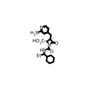 CCC(NC(=O)N1C(=O)C(Cc2ccnc(N)c2)[C@H]1C(=O)O)C1CCCCC1